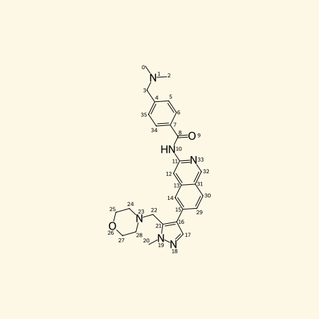 CN(C)Cc1ccc(C(=O)Nc2cc3cc(-c4cnn(C)c4CN4CCOCC4)ccc3cn2)cc1